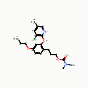 CCCCN(C)C(=O)OCCCc1ccc(OCCOC)cc1Oc1ncc(C(F)(F)F)cc1Cl